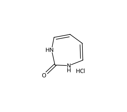 Cl.O=C1NC=CC=CN1